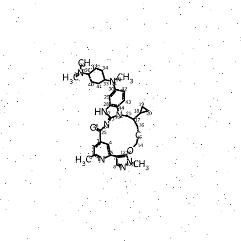 Cc1cc2cc(n1)-c1cnn(C)c1OCCCC(C1CC1)CN1/C(=N/C2=O)Nc2cc(N(C)C3CCC(N(C)C)CC3)ccc21